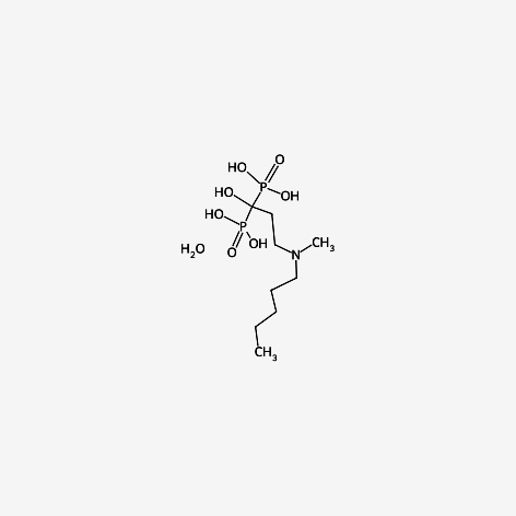 CCCCCN(C)CCC(O)(P(=O)(O)O)P(=O)(O)O.O